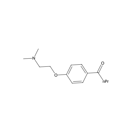 CCCC(=O)c1ccc(OCCN(C)C)cc1